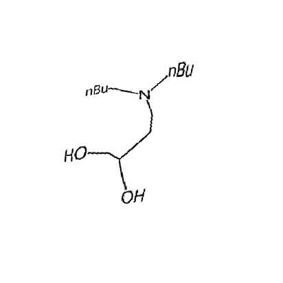 CCCCN(CCCC)CC(O)O